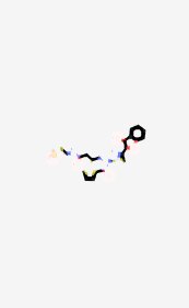 C[S+]([O-])CCNC(=O)CCCN(C(=O)c1cccs1)c1nc(C2Oc3ccccc3C2=O)cs1